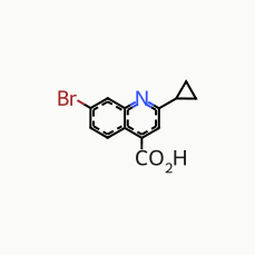 O=C(O)c1cc(C2CC2)nc2cc(Br)ccc12